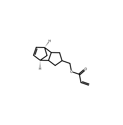 C=CC(=O)OCC1CC2C(C1)[C@H]1C=C[C@@H]2C1